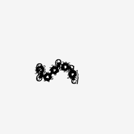 O=C(c1cccc(-c2ccc(C(=O)N3CCC(Oc4ccc(Cl)cc4)CC3)cc2)c1)N1CCOCC1